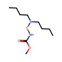 CCCCN(CCCC)SNC(=O)OC